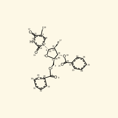 O=C(OC[C@H]1O[C@H](n2cc(I)c(=O)[nH]c2=O)[C@@H](F)[C@@H]1OC(=O)c1ccccc1)c1ccccc1